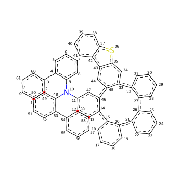 c1ccc(-c2ccccc2N(c2ccc3c4ccccc4c4ccccc4c4ccccc4c4cc5sc6ccccc6c5cc4c3c2)c2ccccc2-c2ccccc2)cc1